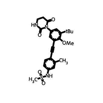 COc1c(C#Cc2ccc(NS(C)(=O)=O)cc2C)cc(N2C(=O)CCNC2=O)cc1C(C)(C)C